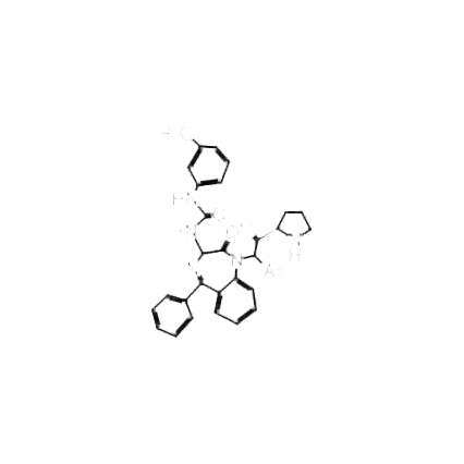 CC(=O)C(C(=O)[C@H]1CCCN1)N1C(=O)C(NC(=O)Nc2cccc(C)c2)N=C(c2ccccc2)c2ccccc21